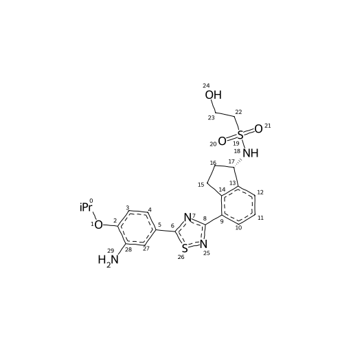 CC(C)Oc1ccc(-c2nc(-c3cccc4c3CC[C@@H]4NS(=O)(=O)CCO)ns2)cc1N